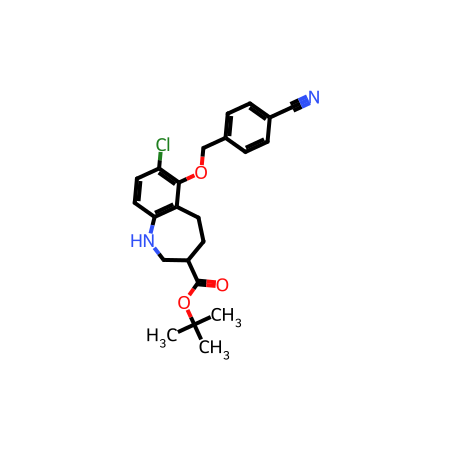 CC(C)(C)OC(=O)C1CCc2c(ccc(Cl)c2OCc2ccc(C#N)cc2)NC1